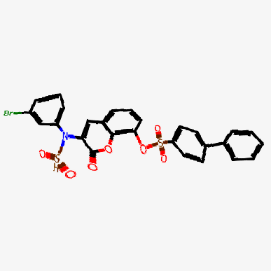 O=c1oc2c(OS(=O)(=O)c3ccc(-c4ccccc4)cc3)cccc2cc1N(c1cccc(Br)c1)[SH](=O)=O